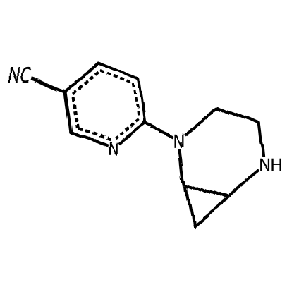 N#Cc1ccc(N2CCNC3CC32)nc1